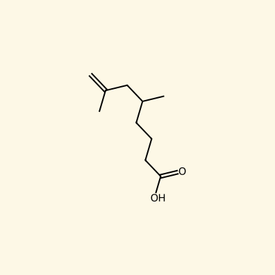 C=C(C)CC(C)CCCC(=O)O